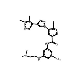 Cc1ccc(C(=O)Nc2cc(NCCN(C)C)cc(C(F)(F)F)c2)cc1-n1cc(-c2cnn(C)c2C)nn1